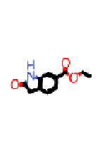 CCOC(=O)c1ccc2c(c1)NC(=O)C2